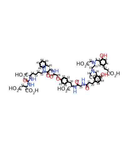 O=C(O)CCc1ccc(O)c(CN(CCN(CC(=O)O)Cc2cc(CCC(=O)NCC(=O)N[C@@H](Cc3ccc(OCC(=O)N[C@@H](Cc4ccccc4)C(=O)NCCCC[C@H](NC(=O)N[C@@H](CC(=O)O)C(=O)O)C(=O)O)cc3)C(=O)O)ccc2O)CC(=O)O)c1